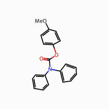 COc1ccc(OC(=O)N(c2ccccc2)c2ccccc2)cc1